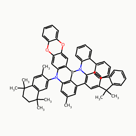 Cc1cc2c3c(c1)N(c1cc4c(cc1C)C(C)(C)CCC4(C)C)c1cc4c(cc1B3N(c1ccccc1-c1ccccc1)c1cc3c(cc1-2)C(C)(C)c1ccccc1-3)Oc1ccccc1O4